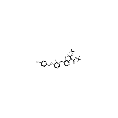 Cc1c(Cc2ccnc(N(C(=O)OC(C)(C)C)C(=O)OC(C)(C)C)c2F)cncc1OCc1ccc(Cl)cc1